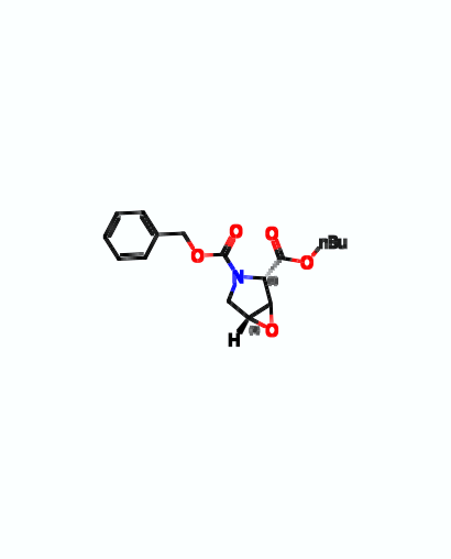 CCCCOC(=O)[C@@H]1C2O[C@@H]2CN1C(=O)OCc1ccccc1